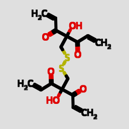 C=CC(=O)C(O)(CSSCC(O)(C(=O)C=C)C(=O)C=C)C(=O)C=C